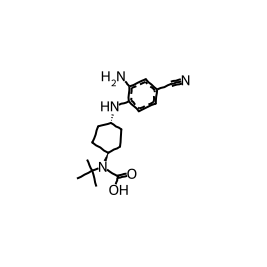 CC(C)(C)N(C(=O)O)[C@H]1CC[C@H](Nc2ccc(C#N)cc2N)CC1